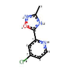 Cc1noc(-c2cc(Cl)ccn2)n1